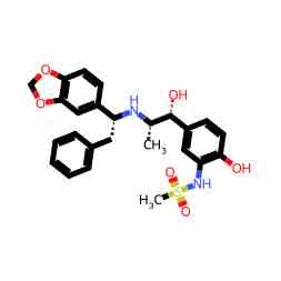 C[C@H](N[C@H](Cc1ccccc1)c1ccc2c(c1)OCO2)[C@H](O)c1ccc(O)c(NS(C)(=O)=O)c1